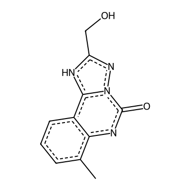 Cc1cccc2c1nc(=O)n1nc(CO)[nH]c21